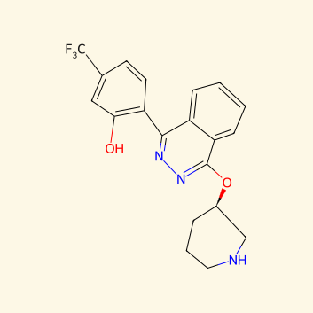 Oc1cc(C(F)(F)F)ccc1-c1nnc(O[C@@H]2CCCNC2)c2ccccc12